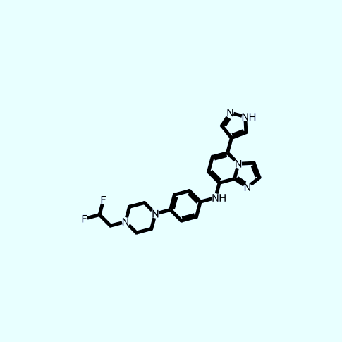 FC(F)CN1CCN(c2ccc(Nc3ccc(-c4cn[nH]c4)n4ccnc34)cc2)CC1